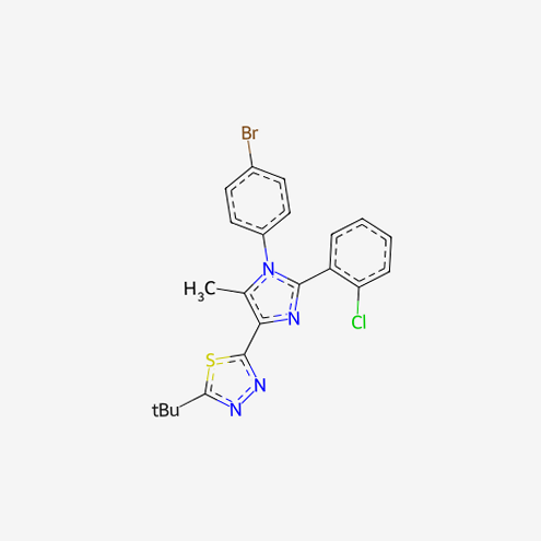 Cc1c(-c2nnc(C(C)(C)C)s2)nc(-c2ccccc2Cl)n1-c1ccc(Br)cc1